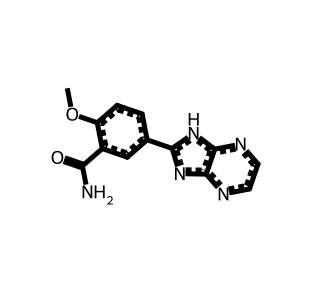 COc1ccc(-c2nc3nccnc3[nH]2)cc1C(N)=O